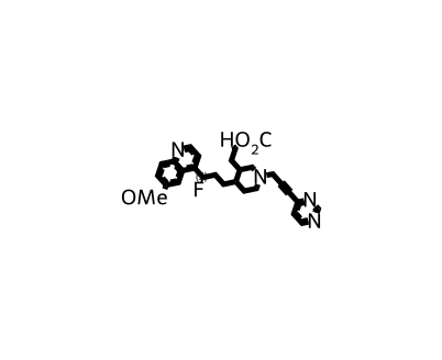 COc1ccc2nccc([C@@H](F)CCC3CCN(CC#Cc4ccncn4)CC3CCC(=O)O)c2c1